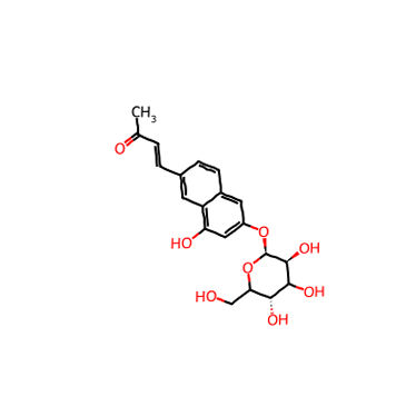 CC(=O)/C=C/c1ccc2cc(O[C@@H]3OC(CO)[C@@H](O)C(O)[C@@H]3O)cc(O)c2c1